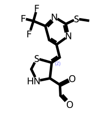 CSc1nc(/C=C2\SCNC2C(=O)C=O)cc(C(F)(F)F)n1